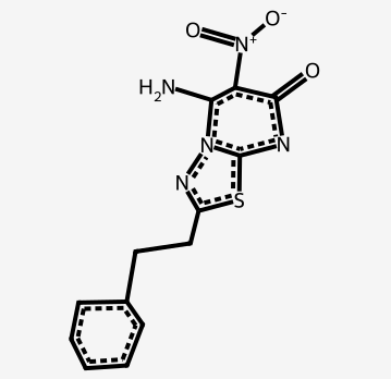 Nc1c([N+](=O)[O-])c(=O)nc2sc(CCc3ccccc3)nn12